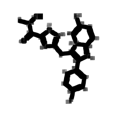 CN(O)C(=O)c1nc(Cc2c(-c3ccc(F)cc3)nc3ccc(F)cn23)no1